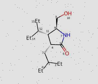 CCC(CC)C[C@H]1C(=O)N[C@H](CO)[C@H]1C(CC)CC